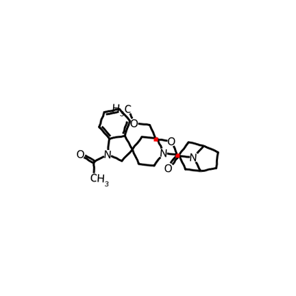 COCCOC(=O)N1C2CCC1CC(N1CCC3(CC1)CN(C(C)=O)c1ccccc13)C2